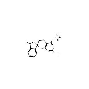 CSc1nc2c(c(OS(=O)(=O)C(F)(F)F)n1)CCC1(CC(C)c3ccccc31)O2